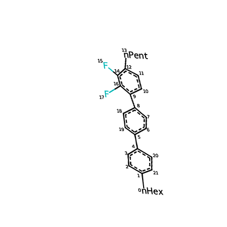 CCCCCCc1ccc(-c2ccc(-c3ccc(CCCCC)c(F)c3F)cc2)cc1